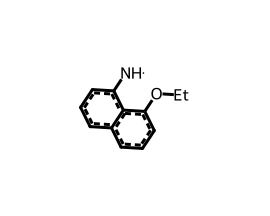 CCOc1cccc2cccc([NH])c12